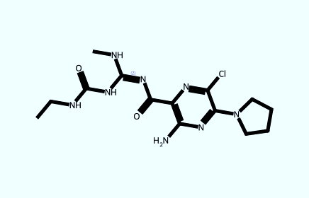 CCNC(=O)N/C(=N\C(=O)c1nc(Cl)c(N2CCCC2)nc1N)NC